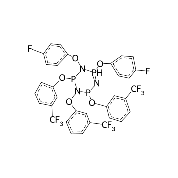 Fc1ccc(ON2P(Oc3cccc(C(F)(F)F)c3)N(Oc3cccc(C(F)(F)F)c3)P(Oc3cccc(C(F)(F)F)c3)N=[PH]2Oc2ccc(F)cc2)cc1